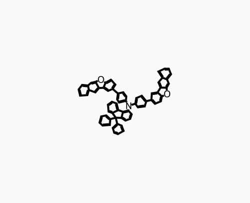 c1ccc(C2(c3ccccc3)c3ccccc3-c3c(N(c4ccc(-c5ccc6oc7cc8ccccc8cc7c6c5)cc4)c4ccc(-c5ccc6oc7cc8ccccc8cc7c6c5)cc4)cccc32)cc1